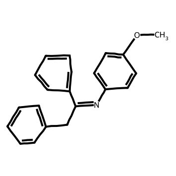 COc1ccc(/N=C(/Cc2ccccc2)c2ccccc2)cc1